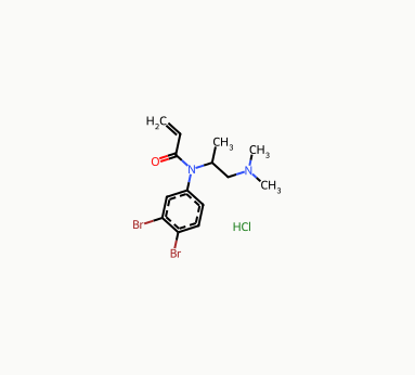 C=CC(=O)N(c1ccc(Br)c(Br)c1)C(C)CN(C)C.Cl